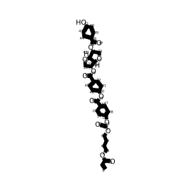 C=CC(=O)OCCCCOC(=O)Oc1ccc(C(=O)Oc2ccc(C(=O)O[C@@H]3CO[C@H]4[C@@H]3OC[C@H]4OC(=O)c3ccc(O)cc3)cc2)cc1